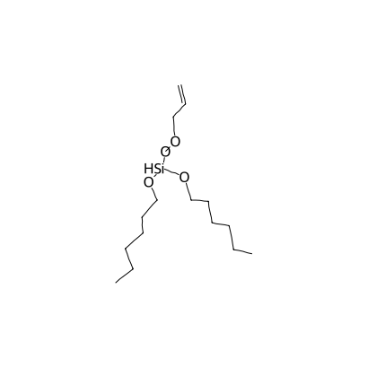 C=CCOO[SiH](OCCCCCC)OCCCCCC